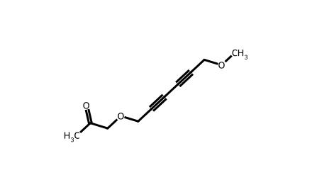 COCC#CC#CCOCC(C)=O